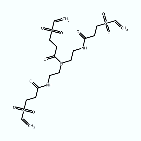 C=CS(=O)(=O)CCC(=O)NCCN(CCNC(=O)CCS(=O)(=O)C=C)C(=O)CCS(=O)(=O)C=C